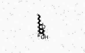 CCCCCC1COc2cc(CO)c(F)cc2C1